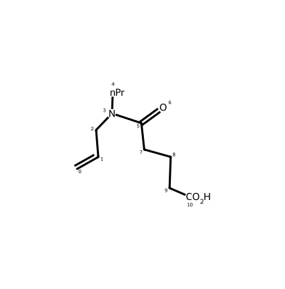 C=CCN(CCC)C(=O)CCCC(=O)O